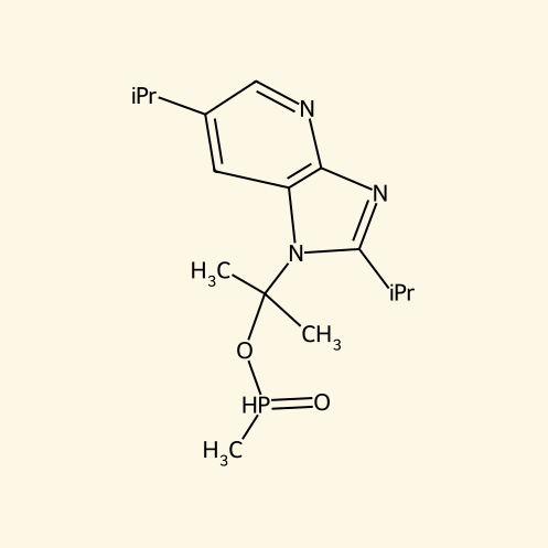 CC(C)c1cnc2nc(C(C)C)n(C(C)(C)O[PH](C)=O)c2c1